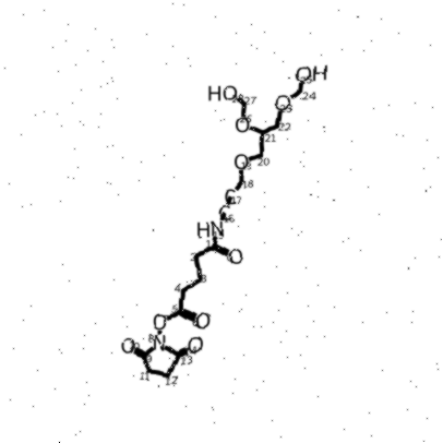 O=C(CCCC(=O)ON1C(=O)CCC1=O)NCCCOCC(COCO)OCO